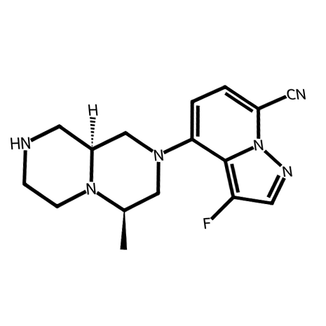 C[C@@H]1CN(c2ccc(C#N)n3ncc(F)c23)C[C@@H]2CNCCN21